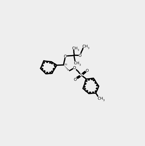 COC(C)(C)O[C@H](COS(=O)(=O)c1ccc(C)cc1)c1ccccc1